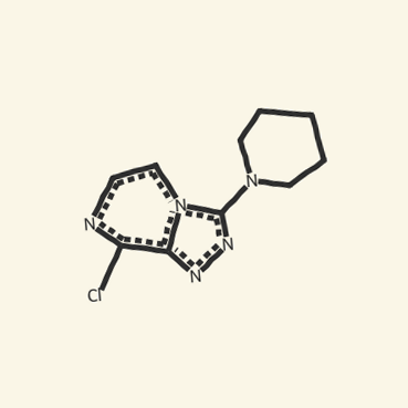 Clc1nccn2c(N3CCCCC3)nnc12